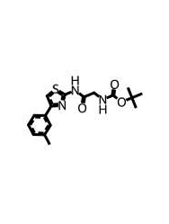 Cc1cccc(-c2csc(NC(=O)CNC(=O)OC(C)(C)C)n2)c1